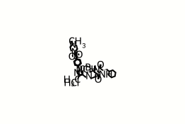 CCCCN1C(=O)[C@H](CC2CCCCC2)NC(=O)C12CCN(Cc1c(C)nn(-c3ccc(S(=O)(=O)N4CCN(C)CC4)cc3)c1C)CC2.Cl